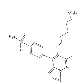 CCOC(=O)CCCCCCc1c(C)nn2c(CC)ccc2c1-c1ccc(S(N)(=O)=O)cc1